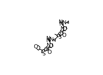 Cc1c(C2CC2n2cnnc2-c2cccc(N3Cc4c(C5CCOCC5)csc4C3=O)n2)sc2c1CN(c1cccc(-c3nncn3C3CC3)n1)C2=O